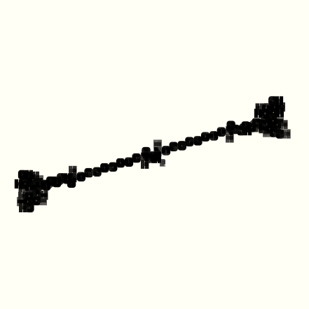 N[C@H](CC(=O)NCCOCCOCCOCCOCCOCCOCCOCCOCCNC(=O)OCC(O)COCC(O)COCC(O)CN(C[C@H](O)[C@@H](O)[C@H](O)[C@H](O)CO)C[C@H](O)[C@@H](O)[C@H](O)[C@H](O)CO)C(=O)NCCOCCOCCOCCOCCOCCOCCOCCOCCNC(=O)OCC(O)COCC(O)COCC(O)CN(C[C@H](O)[C@@H](O)[C@H](O)[C@H](O)CO)C[C@H](O)[C@@H](O)[C@H](O)[C@H](O)CO